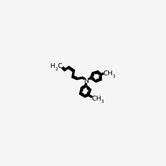 C=C/C=C\C=C/CN(c1ccc(C)cc1)c1cccc(C)c1